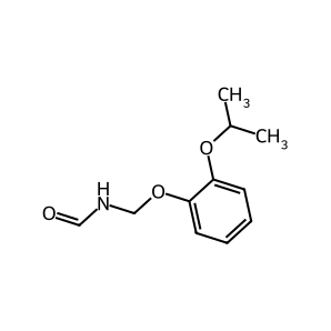 CC(C)Oc1ccccc1OCNC=O